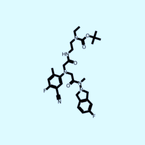 CCN(CCNC(=O)CN(CC(=O)N(C)N1Cc2ccc(F)cc2C1)c1cc(C#N)c(F)cc1C)C(=O)OC(C)(C)C